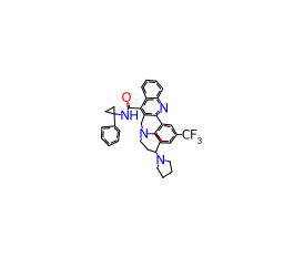 O=C(NC1(c2ccccc2)CC1)c1c(CN2CCC(N3CCCC3)CC2)c(-c2cccc(C(F)(F)F)c2)nc2ccccc12